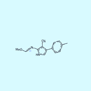 CO/C=N/c1[nH]cc(-c2ccc(C)cc2)c1C#N